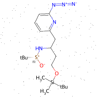 CC(C)(C)[S@@+]([O-])NC(CCO[Si](C)(C)C(C)(C)C)Cc1cccc(N=[N+]=[N-])n1